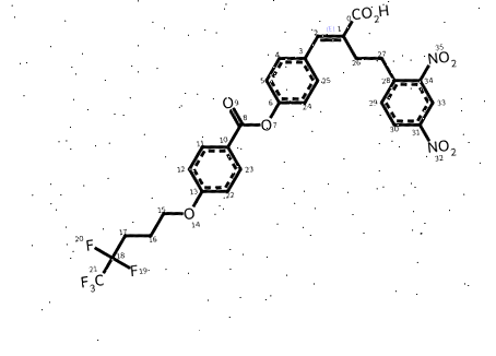 O=C(O)/C(=C/c1ccc(OC(=O)c2ccc(OCCCC(F)(F)C(F)(F)F)cc2)cc1)CCc1ccc([N+](=O)[O-])cc1[N+](=O)[O-]